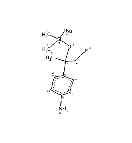 CC(CF)(O[Si](C)(C)C(C)(C)C)c1ccc(N)cn1